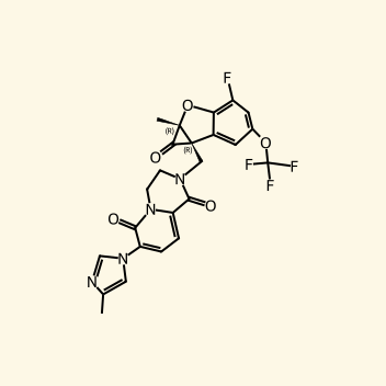 Cc1cn(-c2ccc3n(c2=O)CCN(C[C@@]24C(=O)[C@]2(C)Oc2c(F)cc(OC(F)(F)F)cc24)C3=O)cn1